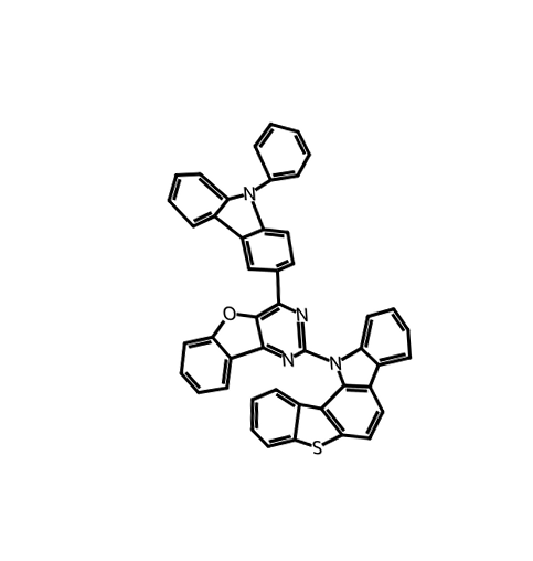 c1ccc(-n2c3ccccc3c3cc(-c4nc(-n5c6ccccc6c6ccc7sc8ccccc8c7c65)nc5c4oc4ccccc45)ccc32)cc1